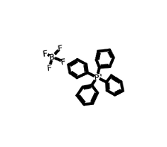 F[B-](F)(F)F.c1ccc([P+](c2ccccc2)(c2ccccc2)c2ccccc2)cc1